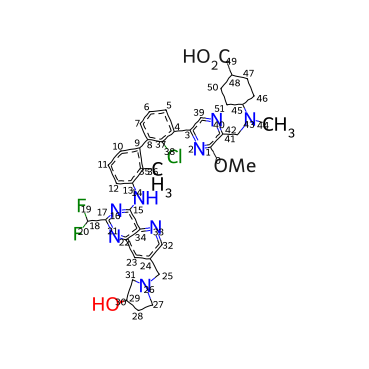 COc1nc(-c2cccc(-c3cccc(Nc4nc(C(F)F)nc5cc(CN6CC[C@@H](O)C6)cnc45)c3C)c2Cl)cnc1CN(C)C1CCC(C(=O)O)CC1